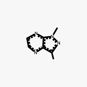 Cc1nn(C)c2nccnc12